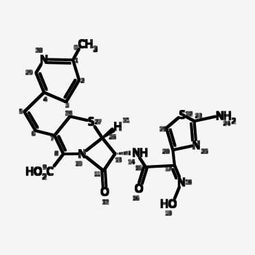 Cc1ccc(/C=C\C2=C(C(=O)O)N3C(=O)[C@@H](NC(=O)/C(=N\O)c4csc(N)n4)[C@H]3SC2)cn1